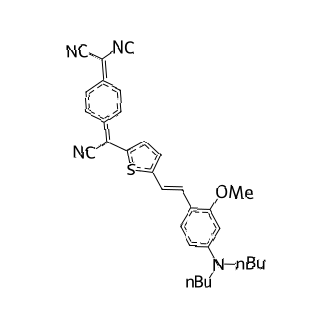 [C-]#[N+]C(C#N)=c1ccc(=C(C#N)c2ccc(/C=C/c3ccc(N(CCCC)CCCC)cc3OC)s2)cc1